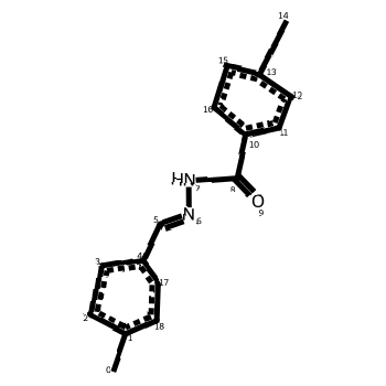 Cc1ccc(/C=N/NC(=O)c2ccc(C)cc2)cc1